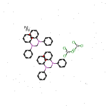 [Cl][Sn]([Cl])[Cl].[Cl][Ti]([Cl])[Cl].[Pd].[Pd].c1ccc(P(CP(c2ccccc2)c2ccccc2)c2ccccc2)cc1.c1ccc(P(CP(c2ccccc2)c2ccccc2)c2ccccc2)cc1